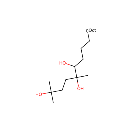 CCCCCCCCCCCC(O)C(C)(O)CCC(C)(C)O